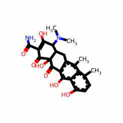 Cc1ccc(O)c2c(O)c3c(c(C)c12)CC1C(N(C)C)C(O)=C(C(N)=O)C(=O)C1(O)C3=O